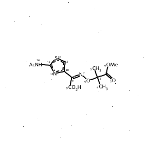 COC(=O)C(C)(C)ON=C(C(=O)O)c1csc(NC(C)=O)n1